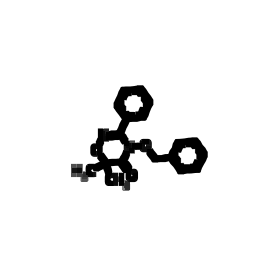 CC1(C)ON=C(c2ccccc2)N(OCc2ccccc2)C1=O